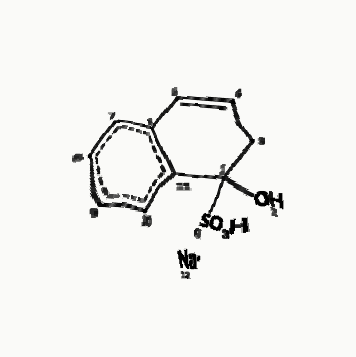 O=S(=O)(O)C1(O)CC=Cc2ccccc21.[Na]